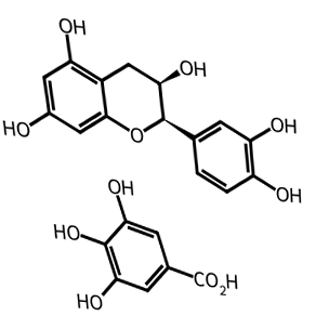 O=C(O)c1cc(O)c(O)c(O)c1.Oc1cc(O)c2c(c1)O[C@H](c1ccc(O)c(O)c1)[C@H](O)C2